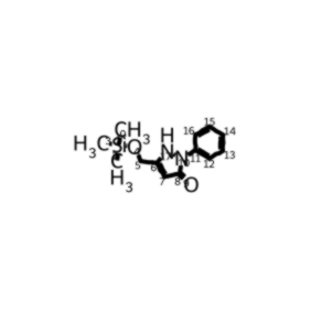 C[Si](C)(C)OCc1cc(=O)n(-c2ccccc2)[nH]1